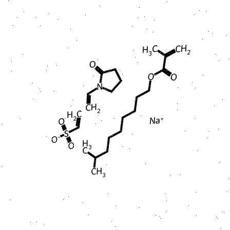 C=C(C)C(=O)OCCCCCCCC(C)C.C=CN1CCCC1=O.C=CS(=O)(=O)[O-].[Na+]